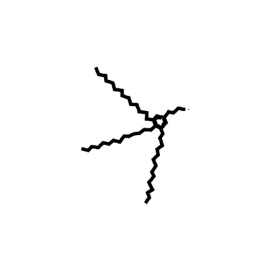 [CH2]CCCc1cc(CCCCCCCCCCCCCC)c(CCCCCCCCCCCCCC)c(CCCCCCCCCCCCCC)c1